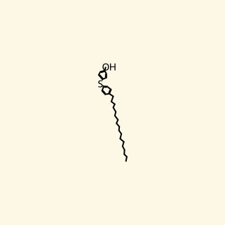 CCCCCCCCCCCCCCCCCCc1ccc(Sc2ccc(O)cc2)cc1